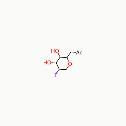 CC(=O)CC1OC[C@@H](I)[C@H](O)[C@H]1O